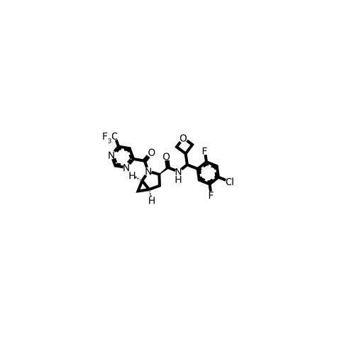 O=C(NC(c1cc(F)c(Cl)cc1F)C1COC1)[C@H]1C[C@H]2C[C@H]2N1C(=O)c1cc(C(F)(F)F)ncn1